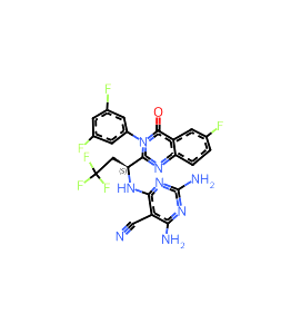 N#Cc1c(N)nc(N)nc1N[C@@H](CC(F)(F)F)c1nc2ccc(F)cc2c(=O)n1-c1cc(F)cc(F)c1